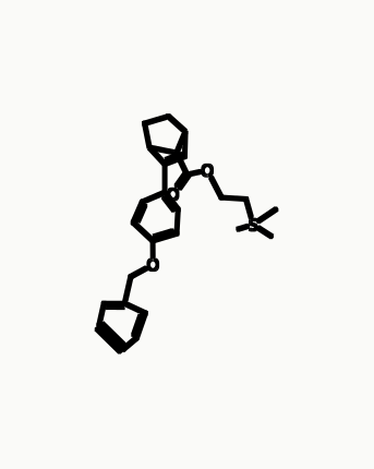 CS(C)(C)CCOC(=O)C1C2C=C(c3ccc(OCc4cc#ccc4)cc3)C1CC2